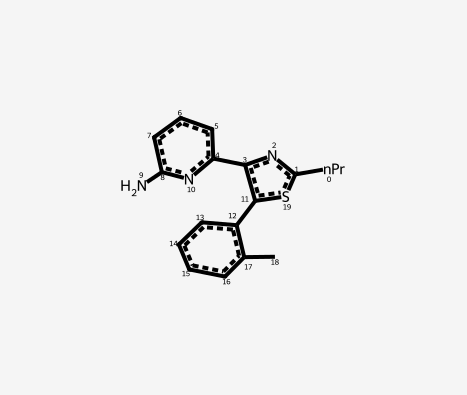 CCCc1nc(-c2cccc(N)n2)c(-c2ccccc2C)s1